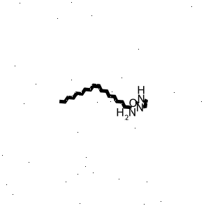 C1=NCCN1.CCCCCCCC/C=C\CCCCCCCC(N)=O